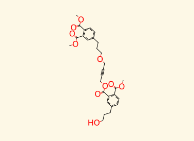 COC(=O)c1ccc(CCCOCC#CCOC(=O)c2cc(CCCO)ccc2C(=O)OC)cc1C(=O)OC